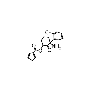 NC1(c2ccccc2Cl)CCCC(OC(=O)C2=CCC=C2)C1=O